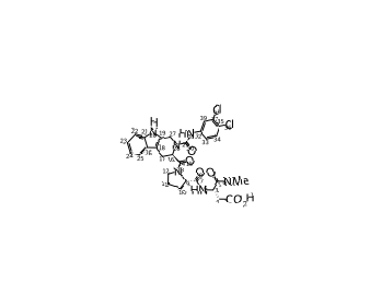 CNC(=O)[C@H](CC(=O)O)NC(=O)[C@@H]1CCCN1C(=O)[C@H]1Cc2c([nH]c3ccccc23)CN1C(=O)Nc1ccc(Cl)c(Cl)c1